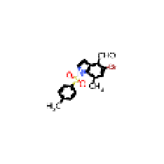 Cc1ccc(S(=O)(=O)n2ccc3c(C=O)c(Br)cc(C)c32)cc1